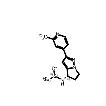 CC(C)(C)[S@@+]([O-])N[C@H]1CCn2nc(-c3ccnc(C(F)(F)F)c3)cc21